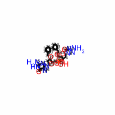 Nc1ncn([C@H]2CC(OP(=O)(O)OC[C@H]3O[C@@H](n4cnc5c(=O)[nH]c(N)nc54)C[C@H]3OCc3ccccc3)[C@@H](COCc3ccccc3)O2)c(=O)n1